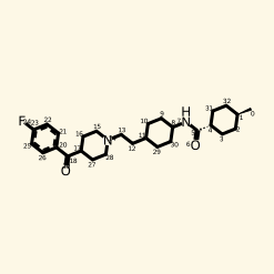 C[C@H]1CC[C@H](C(=O)NC2CCC(CCN3CCC(C(=O)c4ccc(F)cc4)CC3)CC2)CC1